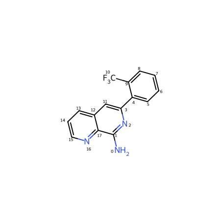 Nc1nc(-c2ccccc2C(F)(F)F)cc2cccnc12